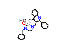 O=C(O)c1c(CN2CCN(Cc3ccccc3)C(=O)C2)c(-c2ccccc2)nc2ccccc12